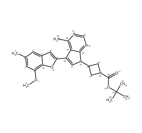 COc1cc(C)cc2cc(-c3cn(C4CN(C(=O)OC(C)(C)C)C4)c4ncnc(N)c34)oc12